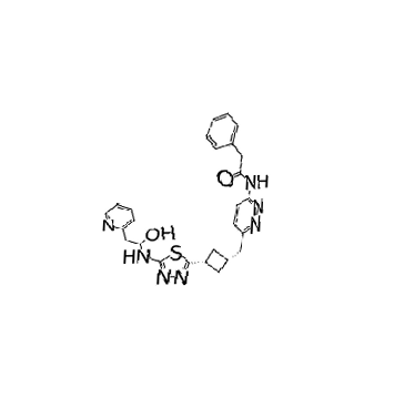 O=C(Cc1ccccc1)Nc1ccc(C[C@H]2C[C@@H](c3nnc(NC(O)Cc4ccccn4)s3)C2)nn1